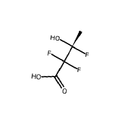 C[C@@](O)(F)C(F)(F)C(=O)O